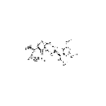 COc1cc(OC)cc(N(CC2CC2)c2ccc3ncc(C(=N)N(C)N)nc3c2)c1